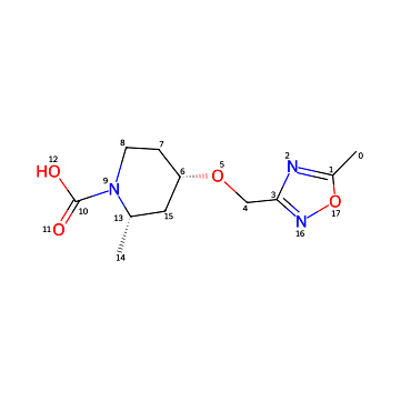 Cc1nc(CO[C@H]2CCN(C(=O)O)[C@@H](C)C2)no1